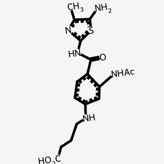 CC(=O)Nc1cc(NCCCC(=O)O)ccc1C(=O)Nc1nc(C)c(N)s1